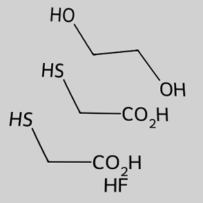 F.O=C(O)CS.O=C(O)CS.OCCO